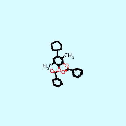 Cc1cc(C2CCCCCC2)c(C)c(OC(=O)c2ccccc2)c1OC(=O)c1ccccc1